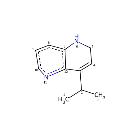 CC(C)C1=CCNc2cccnc21